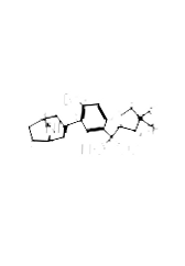 O=C(O)[C@](O)(c1ccc(Br)c(C2CC3CCC(C2)N3)c1)[C@@H]1CCC(F)(F)C1